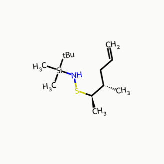 C=CC[C@H](C)[C@@H](C)SN[Si](C)(C)C(C)(C)C